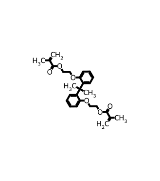 C=C(C)C(=O)OCCOc1ccccc1C(C)(C)c1ccccc1OCCOC(=O)C(=C)C